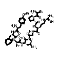 CCOc1ccc(C[C@H](N)C(=O)N[C@@H](Cc2ccccc2)C(=O)N[C@H](C(=O)N[C@@H](CC(N)=O)C(=O)NC(=O)CNC(=O)[C@H](CCCNC(=N)N)NC(=O)[C@@H]2CCCN2C(=O)C(N)CC)C(C)C)cc1